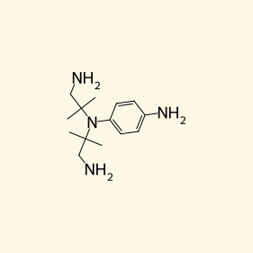 CC(C)(CN)N(c1ccc(N)cc1)C(C)(C)CN